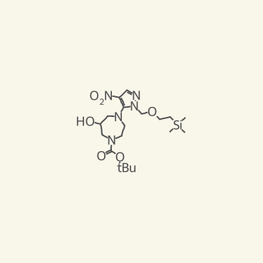 CC(C)(C)OC(=O)N1CCN(c2c([N+](=O)[O-])cnn2COCC[Si](C)(C)C)CC(O)C1